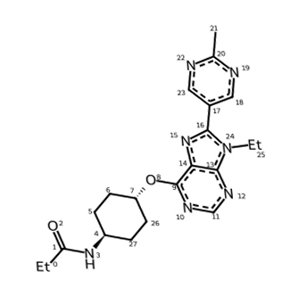 CCC(=O)N[C@H]1CC[C@H](Oc2ncnc3c2nc(-c2cnc(C)nc2)n3CC)CC1